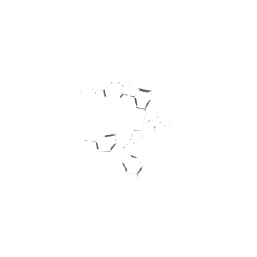 C[C@@H](NC(=O)c1cc(F)cc(N(C2CN(C(c3ccc(Cl)cc3)c3ccc(Cl)cc3)C2)S(C)(=O)=O)c1)C(N)=O